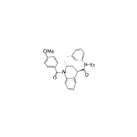 CCN(C(=O)[C@@H]1C[C@@H](C)N(C(=O)c2ccc(OC)cc2)c2ccccc21)c1cccc(C)c1